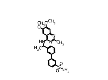 COc1cc2nc(C)nc(NC(C)c3cccc(-c4cccc(S(N)(=O)=O)c4)c3)c2cc1OC